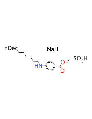 CCCCCCCCCCCCCCCCNc1ccc(C(=O)OCCS(=O)(=O)O)cc1.[NaH]